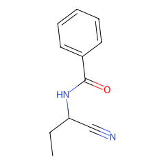 CCC(C#N)NC(=O)c1ccccc1